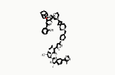 Cc1ncsc1-c1ccc([C@H](C)NC(=O)[C@@H]2C[C@@H](O)CN2C(=O)[C@@H](c2cc(N3CCC(CN4CCC5(CC4)CC(N4CCOC6(CN(CC7C8CCC7CN(c7cc(-c9ccccc9O)nnc7N)C8)C6)C4)C5)CC3)no2)C(C)C)cc1